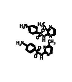 COc1nccnc1NS(=O)(=O)c1ccc(N)cc1.Cc1ccnc(NS(=O)(=O)c2ccc(N)cc2)n1